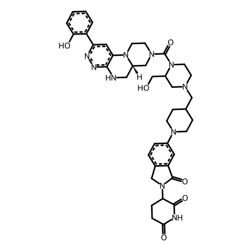 O=C1CCC(N2Cc3ccc(N4CCC(CN5CCN(C(=O)N6CCN7c8cc(-c9ccccc9O)nnc8NC[C@H]7C6)C(CO)C5)CC4)cc3C2=O)C(=O)N1